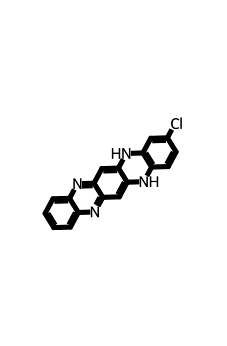 Clc1ccc2c(c1)Nc1cc3nc4ccccc4nc3cc1N2